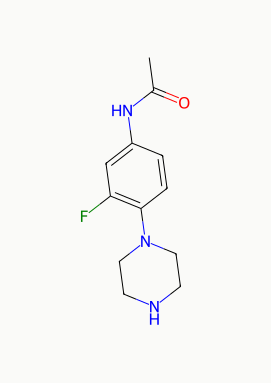 CC(=O)Nc1ccc(N2CCNCC2)c(F)c1